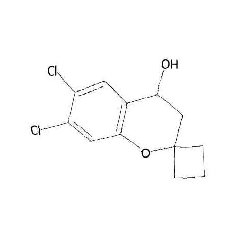 OC1CC2(CCC2)Oc2cc(Cl)c(Cl)cc21